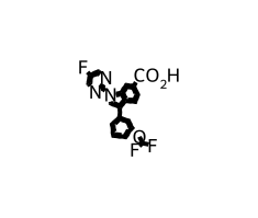 O=C(O)c1ccc2c(-c3cccc(OC(F)F)c3)cn(-c3ncc(F)cn3)c2c1